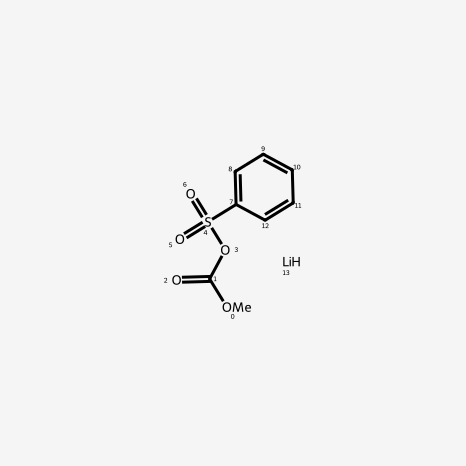 COC(=O)OS(=O)(=O)c1ccccc1.[LiH]